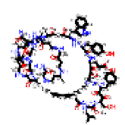 CC(=O)N[C@@H](CC(C)C)C(=O)N[C@H](C(=O)C(=O)[C@H](Cc1ccccc1)NN[C@]1(C)CCCCC#CC#CCCC[C@@](C)(C(=O)CN[C@@H](C)C(=O)CCN[C@@H](C)C(=O)CCN[C@@H](C)C(=O)CCN[C@@H](C)C(=O)CCN[C@@H](C)C(=O)CN[C@H](C)C(N)=O)NC(=O)[C@H](CC(C)C)NC(=O)[C@H](CCC(N)=O)NCN[C@@H](C)C(=O)CC(=O)[C@H](Cc2c[nH]c3ccccc23)NN[C@@H](Cc2ccc(O)cc2)C(=O)N[C@@H](CCC(=O)O)C(=O)C1=O)[C@@H](C)O